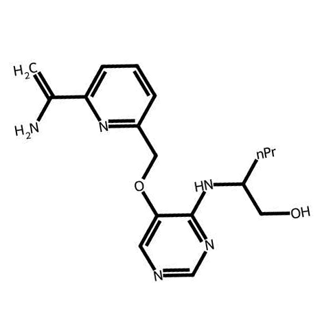 C=C(N)c1cccc(COc2cncnc2NC(CO)CCC)n1